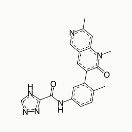 Cc1cc2c(cn1)cc(-c1cc(NC(=O)c3nnc[nH]3)ccc1C)c(=O)n2C